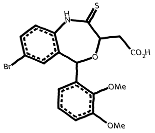 COc1cccc(C2OC(CC(=O)O)C(=S)Nc3ccc(Br)cc32)c1OC